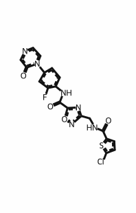 O=C(Nc1ccc(-n2ccncc2=O)cc1F)c1nc(CNC(=O)c2ccc(Cl)s2)no1